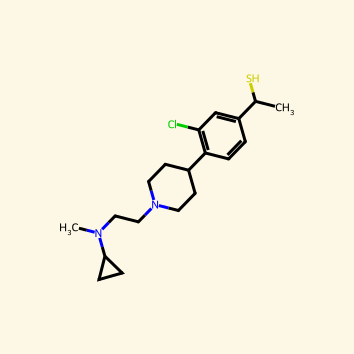 CC(S)c1ccc(C2CCN(CCN(C)C3CC3)CC2)c(Cl)c1